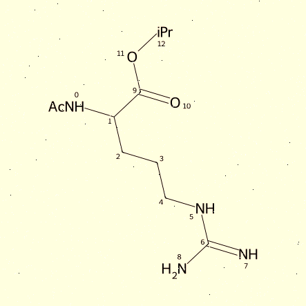 CC(=O)NC(CCCNC(=N)N)C(=O)OC(C)C